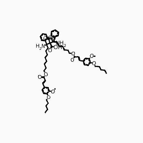 CCCCCOc1ccc(C=CC(=O)OCCCCCCCCc2ccccc2C(N)(CCCCCCCCOC(=O)C=Cc2ccc(OCCCCC)c(OC)c2)C(C(=O)O)(C(=O)O)C(N)c2ccccc2)cc1OC